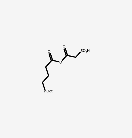 CCCCCCCCCCCC(=O)OC(=O)CS(=O)(=O)O